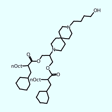 CCCCCCCCC(CC1CCCCC1)C(=O)OCC(COC(=O)C(CCCCCCCC)CC1CCCCC1)N1CCC2(CCN(CCCCO)CC2)CC1